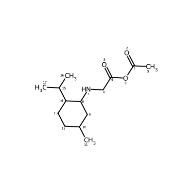 CC(=O)OC(=O)CNC1CC(C)CCC1C(C)C